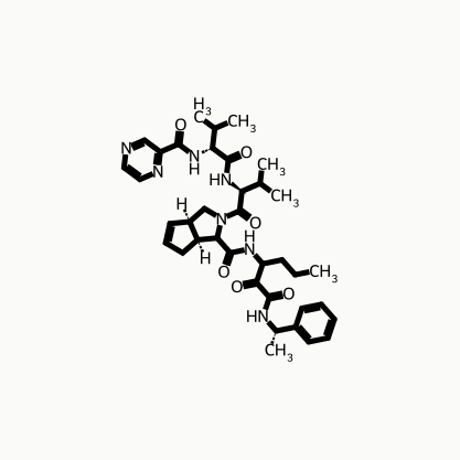 CCCC(NC(=O)C1[C@H]2CC=C[C@H]2CN1C(=O)[C@@H](NC(=O)[C@H](NC(=O)c1cnccn1)C(C)C)C(C)C)C(=O)C(=O)N[C@@H](C)c1ccccc1